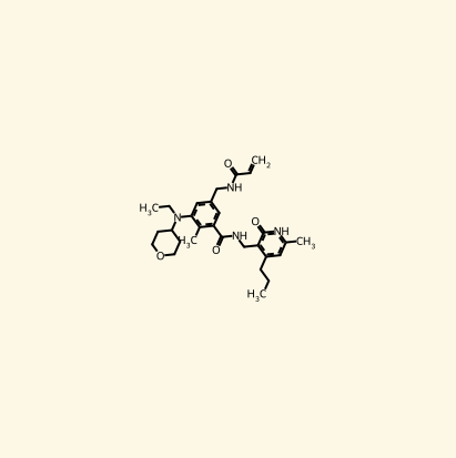 C=CC(=O)NCc1cc(C(=O)NCc2c(CCC)cc(C)[nH]c2=O)c(C)c(N(CC)C2CCOCC2)c1